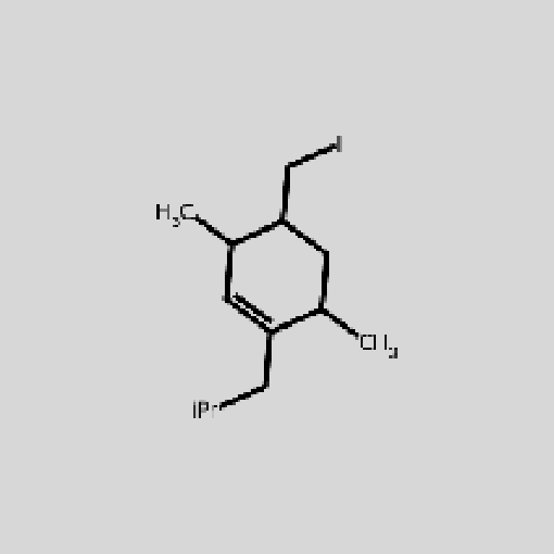 CC(C)CC1=CC(C)C(CI)CC1C